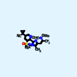 CCS(=N)(=O)c1cc(C2(C#N)CC2)cnc1-c1nc(/C=C(\N(C=O)OC)C(F)(F)F)c(C)n1C